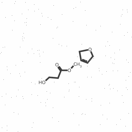 C1=CCOC1.COC(=O)CCO